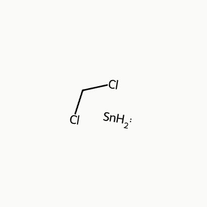 ClCCl.[SnH2]